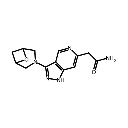 NC(=O)Cc1cc2[nH]nc(N3CC4CC(C3)O4)c2cn1